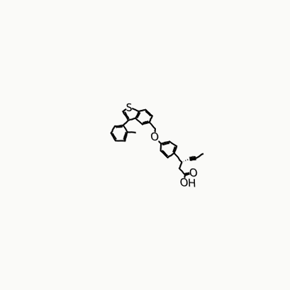 CC#C[C@H](CC(=O)O)c1ccc(OCc2ccc3scc(-c4ccccc4C)c3c2)cc1